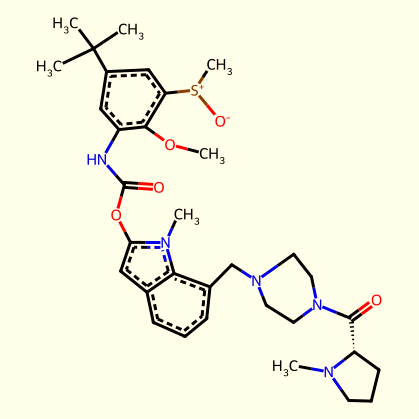 COc1c(NC(=O)Oc2cc3cccc(CN4CCN(C(=O)[C@@H]5CCCN5C)CC4)c3n2C)cc(C(C)(C)C)cc1[S+](C)[O-]